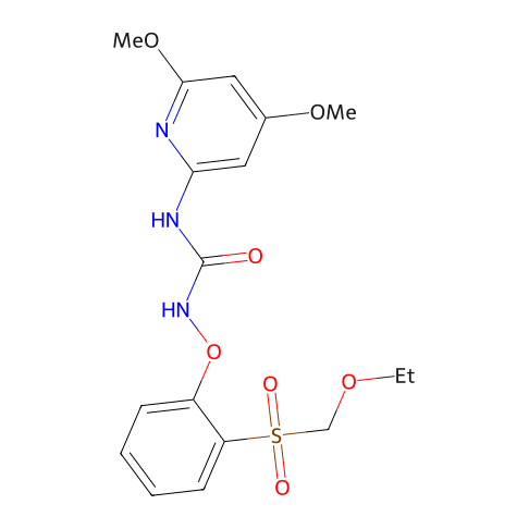 CCOCS(=O)(=O)c1ccccc1ONC(=O)Nc1cc(OC)cc(OC)n1